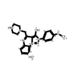 Oc1c2c(CN3CCNCC3)nc3ccccc3[n+]2nn1-c1ccc(OC(F)(F)F)cc1.[OH-]